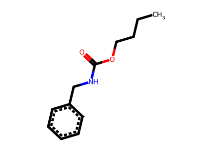 CCCCOC(=O)NCc1[c]cccc1